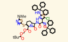 CNc1nnc(SC2=C(C(=O)OCOC(=O)C(C)(C)C)N3C(=O)C(NC(=O)/C(=N\OC(c4ccccc4)(c4ccccc4)c4ccccc4)c4nc(NC(c5ccccc5)(c5ccccc5)c5ccccc5)sc4Cl)C3CC2)s1